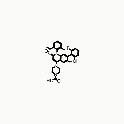 CCc1cccc(C)c1N1C(=C=O)C=C(N2CCN(C(=O)O)CC2)c2cc(F)c(-c3c(O)cccc3F)cc21